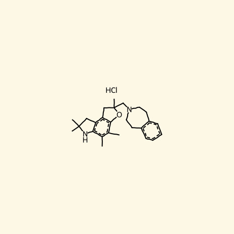 Cc1c(C)c2c(c3c1NC(C)(C)C3)CC(C)(CN1CCc3ccccc3CC1)O2.Cl